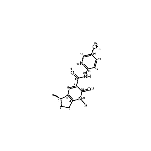 C[C@@H]1CCc2c1cc(C(=O)Nc1ccc(C(F)(F)F)cn1)c(=O)n2C